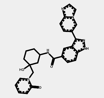 O=C(NC1CCCC(O)(Cn2ccccc2=O)C1)c1ccc2[nH]nc(-c3ccc4nccn4c3)c2c1